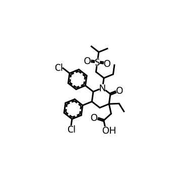 CCC(CS(=O)(=O)C(C)C)N1C(=O)C(CC)(CC(=O)O)CC(c2cccc(Cl)c2)C1c1ccc(Cl)cc1